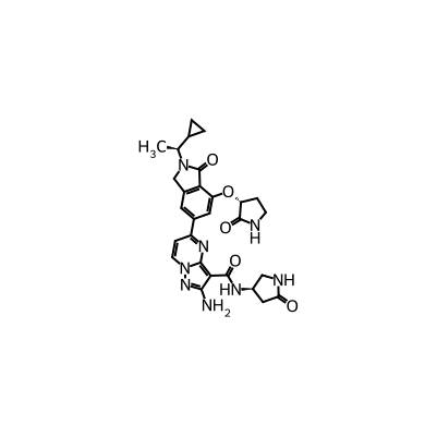 C[C@@H](C1CC1)N1Cc2cc(-c3ccn4nc(N)c(C(=O)N[C@H]5CNC(=O)C5)c4n3)cc(O[C@@H]3CCNC3=O)c2C1=O